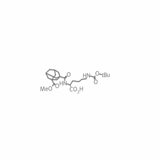 COC(=O)C12CC3CC(CC(C(=O)N[C@@H](CCCCNC(=O)OC(C)(C)C)C(=O)O)(C3)C1)C2